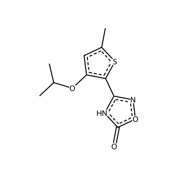 Cc1cc(OC(C)C)c(-c2noc(=O)[nH]2)s1